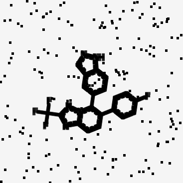 Fc1ccc(-c2ccc3nc(C(F)(F)F)nn3c2-c2ccc3[nH]ncc3c2)cc1